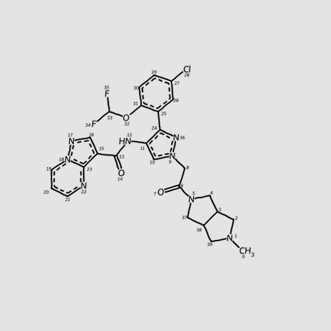 CN1CC2CN(C(=O)Cn3cc(NC(=O)c4cnn5cccnc45)c(-c4cc(Cl)ccc4OC(F)F)n3)CC2C1